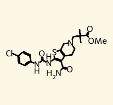 COC(=O)C(C)(C)CN1CCc2c(sc(NC(=O)Nc3ccc(Cl)cc3)c2C(N)=O)C1